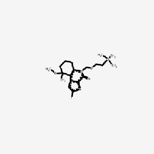 COC1(C)CCCc2c1c1cc(I)sc1c(=O)n2COCC[Si](C)(C)C